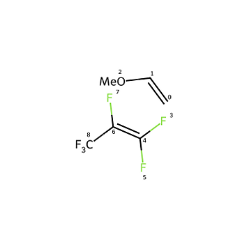 C=COC.FC(F)=C(F)C(F)(F)F